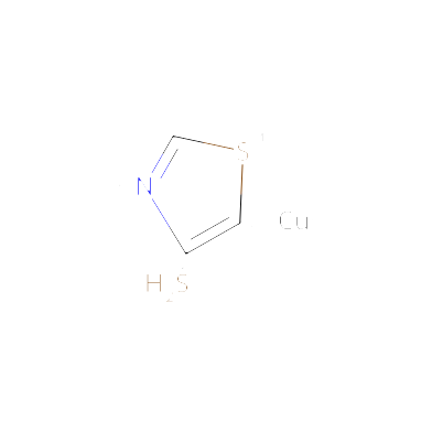 S.[Cu].c1cscn1